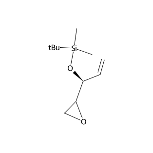 C=C[C@H](O[Si](C)(C)C(C)(C)C)C1CO1